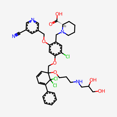 N#Cc1cncc(COc2cc(OCC3(OCCCNCC(O)CO)C=CC=C(c4ccccc4)C3(Cl)Cl)c(Cl)cc2CN2CCCC[C@H]2C(=O)O)c1